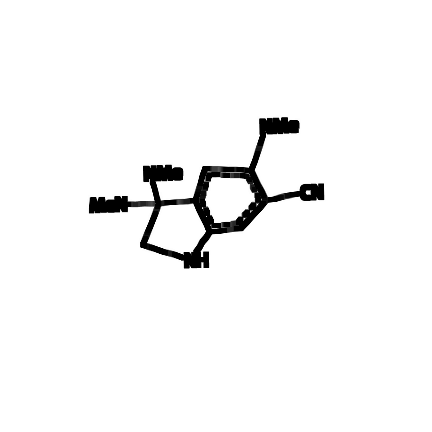 CNc1cc2c(cc1C#N)NCC2(NC)NC